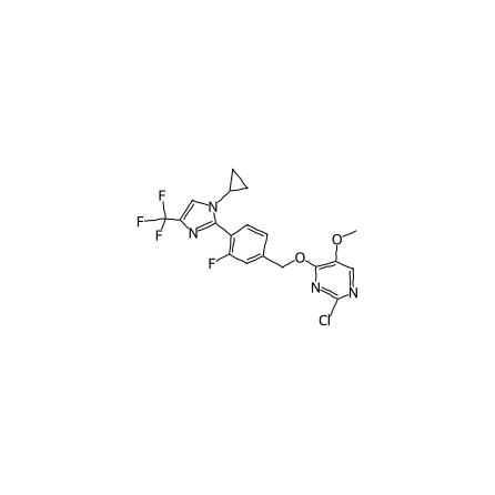 COc1cnc(Cl)nc1OCc1ccc(-c2nc(C(F)(F)F)cn2C2CC2)c(F)c1